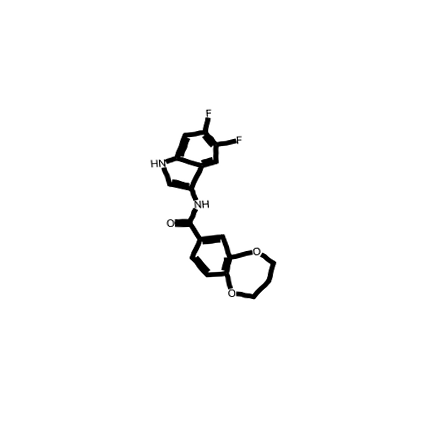 O=C(Nc1c[nH]c2cc(F)c(F)cc12)c1ccc2c(c1)OCCCO2